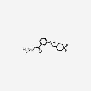 NCCC(=O)c1cccc(NCC2CCC(F)(F)CC2)c1